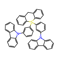 c1cc(-n2c3ccccc3c3ccccc32)cc(S2(c3cccc(-n4c5ccccc5c5ccccc54)c3)c3ccccc3Cc3ccccc32)c1